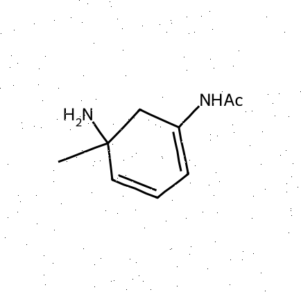 CC(=O)NC1=CC=CC(C)(N)C1